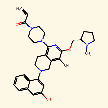 C=CC(=O)N1CCN(c2nc(OC[C@@H]3CCCN3C)c(C#N)c3c2CCN(c2cc(O)cc4ccccc24)C3)CC1